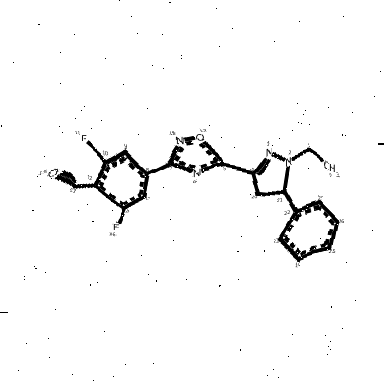 CCN1N=C(c2nc(-c3cc(F)c(C=O)c(F)c3)no2)CC1c1ccccc1